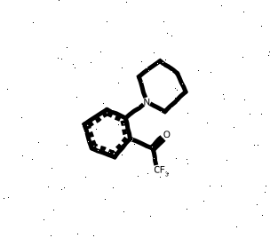 O=C(c1ccccc1N1CCCCC1)C(F)(F)F